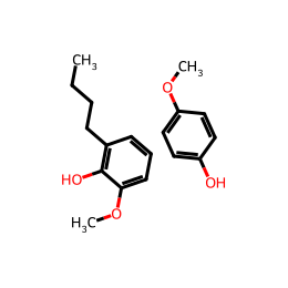 CCCCc1cccc(OC)c1O.COc1ccc(O)cc1